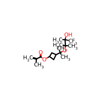 C=C(C)C(=O)OC1CC(C(C)(C)OC(C)(C)C(C)(O)C(F)(F)F)C1